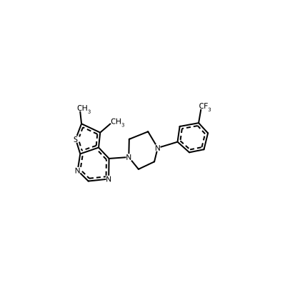 Cc1sc2ncnc(N3CCN(c4cccc(C(F)(F)F)c4)CC3)c2c1C